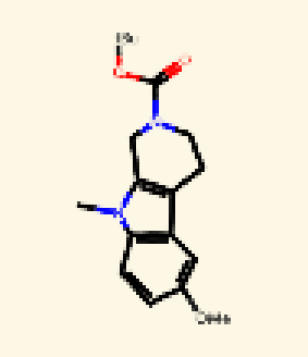 COc1ccc2c(c1)c1c(n2C)CN(C(=O)OC(C)(C)C)CC1